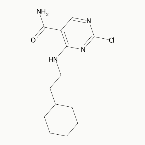 NC(=O)c1cnc(Cl)nc1NCCC1CCCCC1